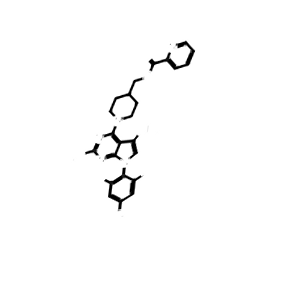 Cc1nc(N2CCC(COC(=O)c3ccccn3)CC2)c2c(C)cn(-c3c(C)cc(Br)cc3C)c2n1